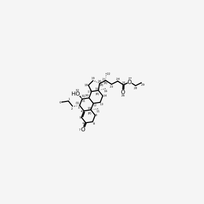 CCC[C@H]1C2=CC(=O)CC[C@]2(C)C2CC[C@@]3(C)C(CC[C@@H]3[C@H](C)CCC(=O)OCC)C2[C@@H]1O